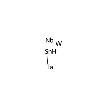 [Nb].[SnH][Ta].[W]